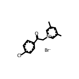 Cc1cc(C)c[n+](CC(=O)c2ccc(Cl)cc2)c1.[Br-]